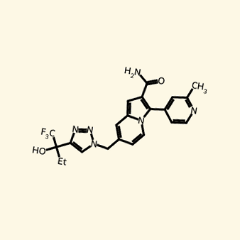 CCC(O)(c1cn(Cc2ccn3c(-c4ccnc(C)c4)c(C(N)=O)cc3c2)nn1)C(F)(F)F